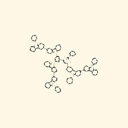 c1ccc(-c2nc(-c3cc(-n4c5ccccc5c5cc(-c6ccc7c(c6)c6ccccc6n7-c6ccccc6)ccc54)cc(-n4c5ccccc5c5cc(-c6ccc7c(c6)c6ccccc6n7-c6ccccc6)ccc54)c3)cc(-c3ccc4c(c3)c3cc(-c5ccc6c(c5)c5ccccc5n6-c5ccccc5)ccc3n4-c3ccccc3)n2)cc1